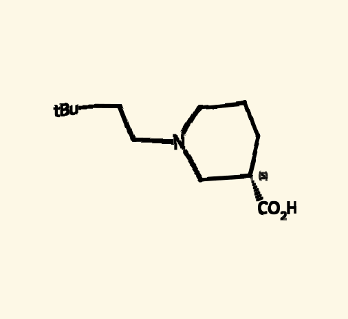 CC(C)(C)CCN1CCC[C@H](C(=O)O)C1